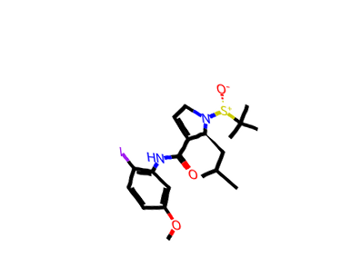 COc1ccc(I)c(NC(=O)C2=CCN([S@+]([O-])C(C)(C)C)[C@H]2CC(C)C)c1